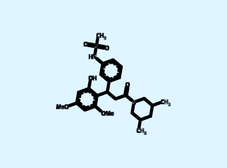 COc1cc(O)c(C(CC(=O)N2CC(C)CC(C)C2)c2cccc(NS(C)(=O)=O)c2)c(OC)c1